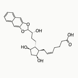 O=C(O)CCC/C=C\C[C@@H]1[C@@H](CC[C@@H](O)C2Oc3cc4ccccc4cc3O2)[C@H](O)C[C@@H]1O